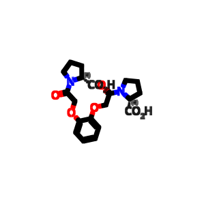 O=C(O)[C@H]1CCCN1C(=O)COc1ccccc1OCC(=O)N1CCC[C@@H]1C(=O)O